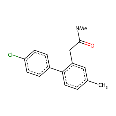 CNC(=O)Cc1cc(C)ccc1-c1ccc(Cl)cc1